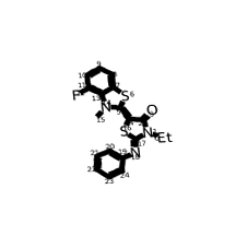 CCN1C(=O)/C(=C2\Sc3cccc(F)c3N2C)S/C1=N\c1ccccc1